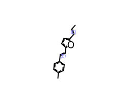 C/C=C/c1ccc(/C=C/c2ccc(C)cc2)o1